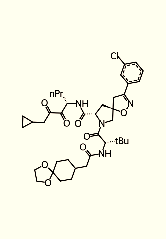 CCC[C@H](NC(=O)[C@@H]1C[C@]2(CC(c3cccc(Cl)c3)=NO2)CN1C(=O)[C@@H](NC(=O)CC1CCC2(CC1)OCCO2)C(C)(C)C)C(=O)C(=O)CC1CC1